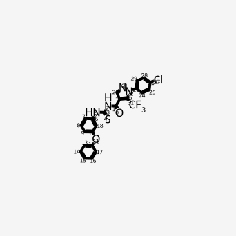 O=C(NC(=S)Nc1cccc(Oc2ccccc2)c1)c1cnn(-c2ccc(Cl)cc2)c1C(F)(F)F